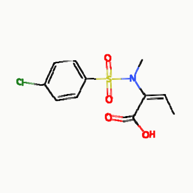 CC=C(C(=O)O)N(C)S(=O)(=O)c1ccc(Cl)cc1